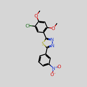 COc1cc(OC)c(-c2nnc(-c3cccc([N+](=O)[O-])c3)s2)cc1Cl